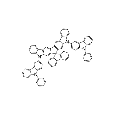 C1=CC2=C(CC1)C1(c3ccccc32)c2cc3c(cc2-c2cc4c5ccccc5n(-c5ccc6c(c5)c5ccccc5n6-c5ccccc5)c4cc21)c1ccccc1n3-c1ccc2c(c1)c1ccccc1n2-c1ccccc1